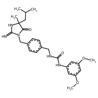 COc1cc(NC(=O)NCc2ccc(CN3C(=N)NC(C)(CC(C)C)C3=O)cc2)cc(OC)c1